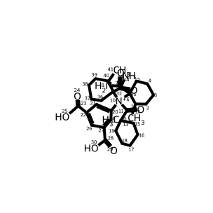 CC1CCCCC1(C(N)=O)[N+](C(=O)C1(C)CCCCC1)(c1cc(C(=O)O)cc(C(=O)O)c1)C1(C(N)=O)CCCCC1C